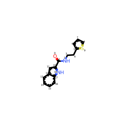 O=C(NCCc1cccs1)c1cc2ccccc2[nH]1